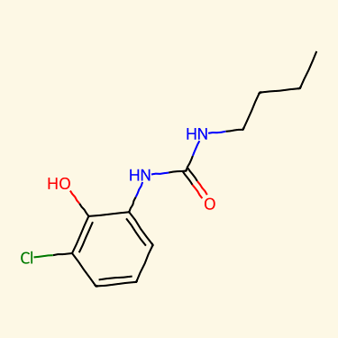 CCCCNC(=O)Nc1cccc(Cl)c1O